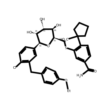 CCOc1ccc(Cc2cc([C@@H]3O[C@H](CSc4cc(C(N)=O)ccc4C4(C(=O)O)CCCC4)[C@H](O)[C@@H](O)[C@H]3O)ccc2Cl)cc1